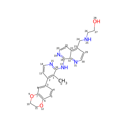 Cc1c(-c2ccc3c(c2)OCCO3)ccnc1Nc1nccc2c(CNCCO)ccnc12